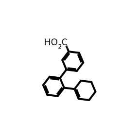 O=C(O)c1cccc(-c2ccccc2C2=CCCCC2)c1